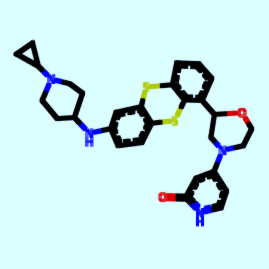 O=c1cc(N2CCOC(c3cccc4c3Sc3ccc(NC5CCN(C6CC6)CC5)cc3S4)C2)cc[nH]1